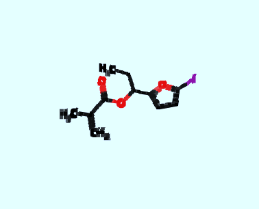 C=C(C)C(=O)OC(CC)c1ccc(I)o1